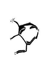 Nc1cncc(C=O)c1I